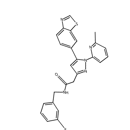 Cc1cccc(-n2nc(CC(=O)NCc3cccc(F)c3)cc2-c2ccc3ncsc3c2)n1